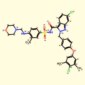 Cc1cc(Oc2ccc(Cn3nc4cc(Cl)ccc4c3C(=O)NS(=O)(=O)c3ccc(NCN4CCOCC4)c([N+](=O)[O-])c3)cc2)cc(C)c1Cl